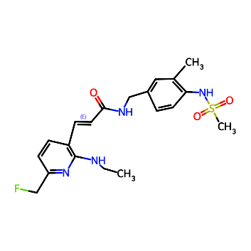 CCNc1nc(CF)ccc1/C=C/C(=O)NCc1ccc(NS(C)(=O)=O)c(C)c1